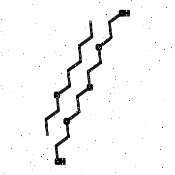 CCCCCCOCCC.OCCOCCOCCOCCO